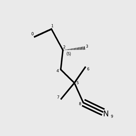 CC[C@H](C)CC(C)(C)C#N